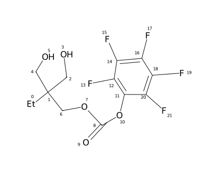 CCC(CO)(CO)COC(=O)Oc1c(F)c(F)c(F)c(F)c1F